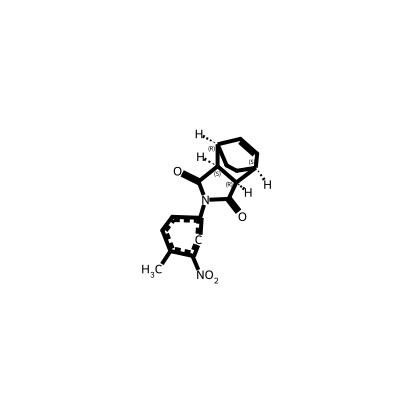 Cc1ccc(N2C(=O)[C@@H]3[C@H](C2=O)[C@@H]2C=C[C@H]3CC2)cc1[N+](=O)[O-]